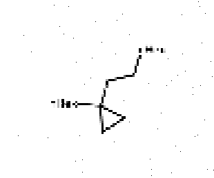 CCCCC[CH]C1(CCCCCCCC)CC1